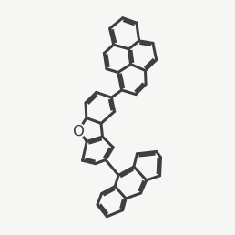 C1=CC2Oc3ccc(-c4c5ccccc5cc5ccccc45)cc3C2C=C1c1ccc2ccc3cccc4ccc1c2c34